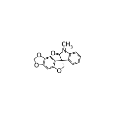 CN1C(=O)[C@@]2(COc3cc4c(cc32)OCO4)c2ccccc21